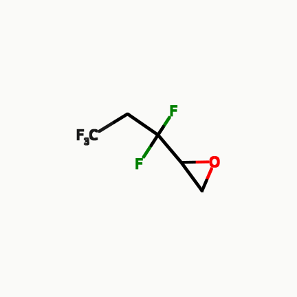 FC(F)(F)CC(F)(F)C1CO1